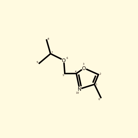 Cc1coc(COC(C)C)n1